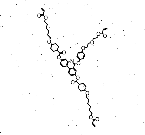 C=CC(=O)OCCCCCCOC1CCC(C(=O)Oc2ccc3c(c2)nc(Oc2ccc(OCCOCCOC(=O)C=C)cc2)c2cc(OC(=O)C4CCC(OCCCCCCOC(=O)C=C)CC4)ccc23)CC1